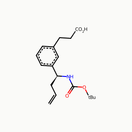 C=CC[C@H](NC(=O)OC(C)(C)C)c1cccc(CCC(=O)O)c1